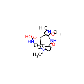 CCN(c1cccc2c1CC=CCCc1cc(C)nc(OC)c1CNC2=O)C1CC2(CC(NC(=O)O)C2)C1